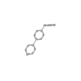 [N-]=[N+]=Nc1ccc(-c2ccncc2)cc1